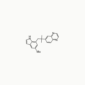 CC(C)(C)c1cc(CC(C)(C)c2ccc3nccnc3c2)c2[nH]ccc2c1